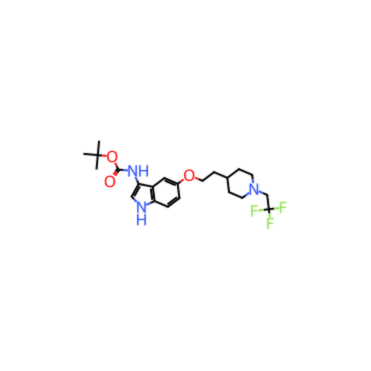 CC(C)(C)OC(=O)Nc1c[nH]c2ccc(OCCC3CCN(CC(F)(F)F)CC3)cc12